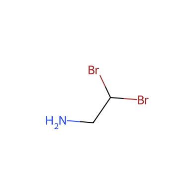 NCC(Br)Br